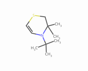 CC(C)(C)N1C=CSCC1(C)C